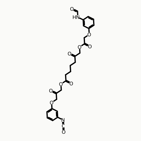 O=C=Nc1cccc(OCC(=O)COC(=O)CCCCC(=O)COC(=O)COc2cccc(NC=O)c2)c1